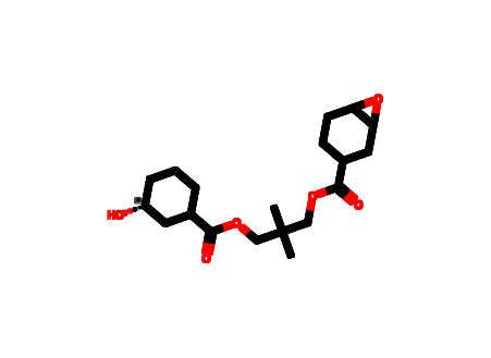 CC(C)(COC(=O)C1CCC2OC2C1)COC(=O)C1CCC[C@@H](O)C1